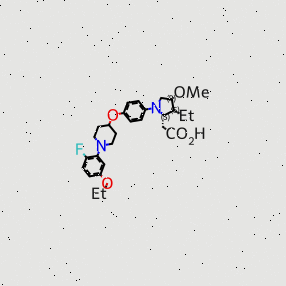 CCOc1ccc(F)c(N2CCC(Oc3ccc(N4C[C@H](OC)[C@@H](CC)[C@@H]4CC(=O)O)cc3)CC2)c1